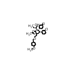 C=CC[C@]1(CCOCc2ccc(OC)cc2)C[C@H](c2cccc(Cl)c2)[C@@H](c2ccc(Cl)cc2)N([C@@H](CC)CO)C1=O